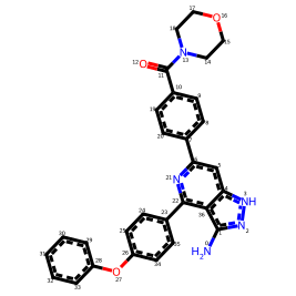 Nc1n[nH]c2cc(-c3ccc(C(=O)N4CCOCC4)cc3)nc(-c3ccc(Oc4ccccc4)cc3)c12